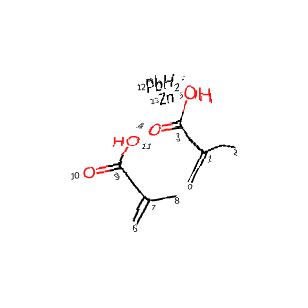 C=C(C)C(=O)O.C=C(C)C(=O)O.[PbH2].[Zn]